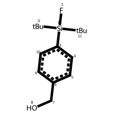 CC(C)(C)[Si](F)(c1ccc(CO)cc1)C(C)(C)C